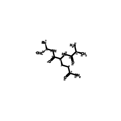 CC[C@H](C)[C@@H]([C]=O)NC(=O)[C@H](CCC(N)=O)NC(=O)[C@H](C)N